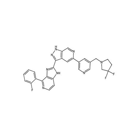 Fc1ccccc1-c1nccc2[nH]c(-c3n[nH]c4cnc(-c5cncc(CN6CCC(F)(F)C6)c5)cc34)nc12